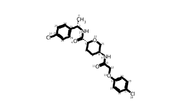 C[C@H](NC(=O)[C@H]1CC[C@H](NC(=O)COc2ccc(Cl)cc2)CO1)c1ccc(Cl)cc1